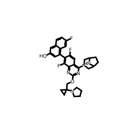 Oc1cc(-c2c(F)cc3c(N4CC5CCC(C4)N5)nc(OCC4(N5CCCC5)CC4)nc3c2F)c2cc(F)ccc2c1